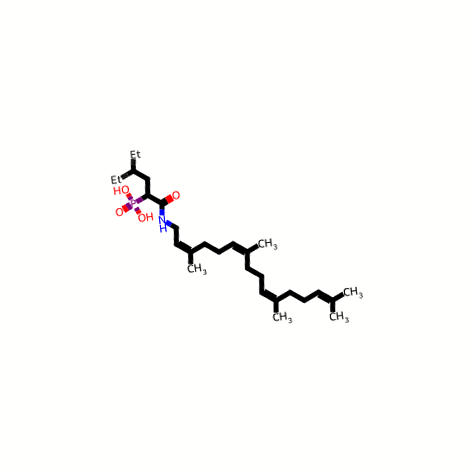 CCC(CC)CC(C(=O)NCC=C(C)CCC=C(C)CCC=C(C)CCC=C(C)C)P(=O)(O)O